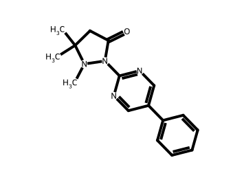 CN1N(c2ncc(-c3ccccc3)cn2)C(=O)CC1(C)C